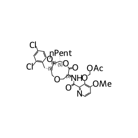 CCCCCO[C@@H]1[C@@H](Cc2ccc(Cl)cc2Cl)COC[C@H](NC(=O)c2nccc(OC)c2OCOC(C)=O)C(=O)O[C@H]1C